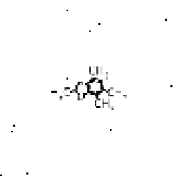 Cc1cc(C)c2c(c1C)OC(C)C2